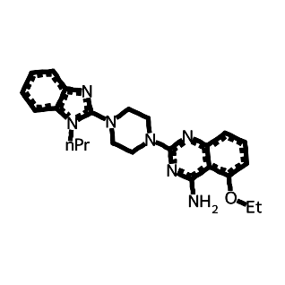 CCCn1c(N2CCN(c3nc(N)c4c(OCC)cccc4n3)CC2)nc2ccccc21